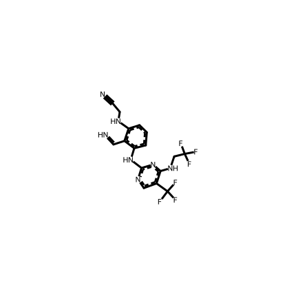 N#CCNc1cccc(Nc2ncc(C(F)(F)F)c(NCC(F)(F)F)n2)c1C=N